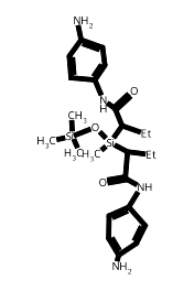 CCC(C(=O)Nc1ccc(N)cc1)[Si](C)(O[Si](C)(C)C)C(CC)C(=O)Nc1ccc(N)cc1